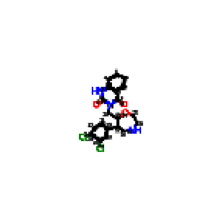 O=c1[nH]c2ccccc2c(=O)n1CC1OCCNCC1c1ccc(Cl)c(Cl)c1